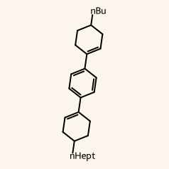 CCCCCCCC1CC=C(c2ccc(C3=CCC(CCCC)CC3)cc2)CC1